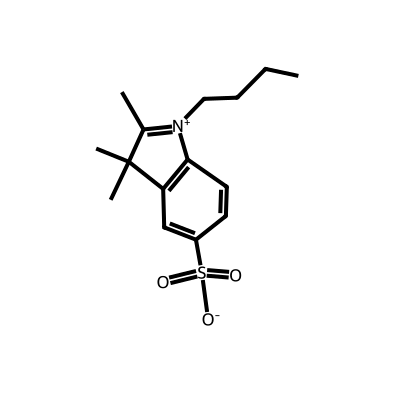 CCCC[N+]1=C(C)C(C)(C)c2cc(S(=O)(=O)[O-])ccc21